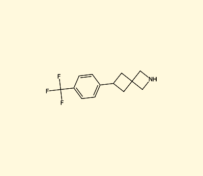 FC(F)(F)c1ccc(C2CC3(CNC3)C2)cc1